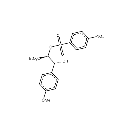 CCOC(=O)[C@@H](OS(=O)(=O)c1ccc([N+](=O)[O-])cc1)[C@H](O)c1ccc(OC)cc1